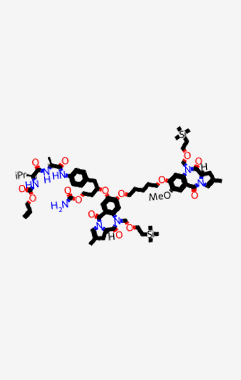 C=CCOC(=O)N[C@H](C(=O)N[C@@H](C)C(=O)Nc1ccc(CC(CCOC(N)=O)Oc2cc3c(cc2OCCCCCOc2cc4c(cc2OC)C(=O)N2C=C(C)C[C@H]2C(=O)N4COCC[Si](C)(C)C)N(COCC[Si](C)(C)C)C(=O)[C@@H]2CC(C)=CN2C3=O)cc1)C(C)C